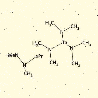 CCCN(C)[N]C.C[N](C)[Ta]([N](C)C)[N](C)C